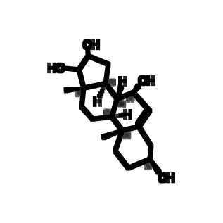 C[C@]12CC[C@H](O)CC1=C[C@H](O)[C@@H]1[C@@H]2CC[C@]2(C)C(O)C(O)C[C@@H]12